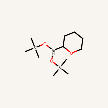 C[Si](C)(C)O[SiH](O[Si](C)(C)C)C1CCCCO1